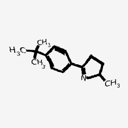 CC1CCC(c2ccc(C(C)(C)C)cc2)=N1